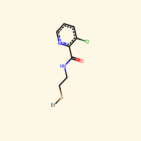 CCSCCNC(=O)c1ncccc1Cl